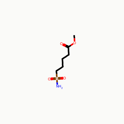 COC(=O)CCCCS(N)(=O)=O